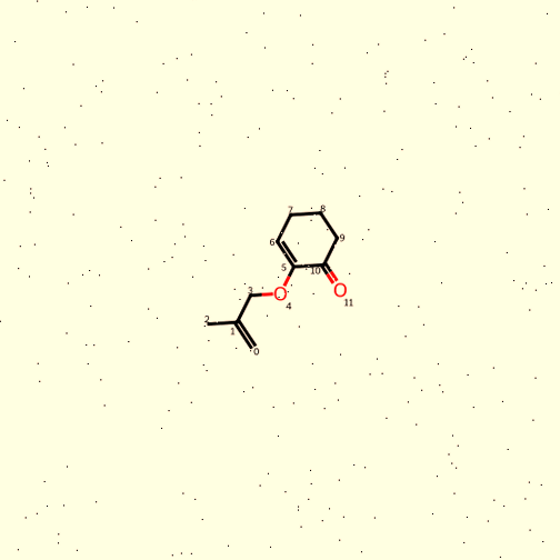 C=C(C)COC1=CCCCC1=O